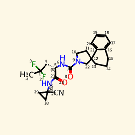 CC(F)(F)C[C@H](NC(=O)N1CCC2(CCCc3ccccc32)C1)C(=O)NC1(C#N)CC1